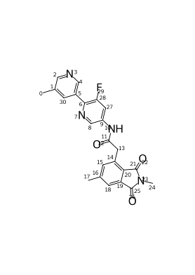 Cc1cncc(-c2ncc(NC(=O)Cc3cc(C)cc4c3C(=O)N(C)C4=O)cc2F)c1